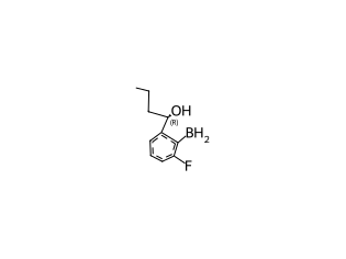 Bc1c(F)cccc1[C@H](O)CCC